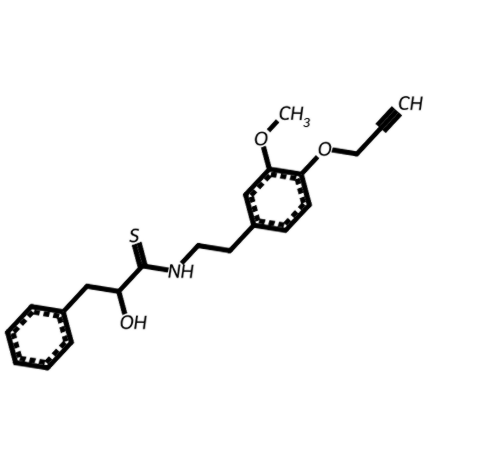 C#CCOc1ccc(CCNC(=S)C(O)Cc2ccccc2)cc1OC